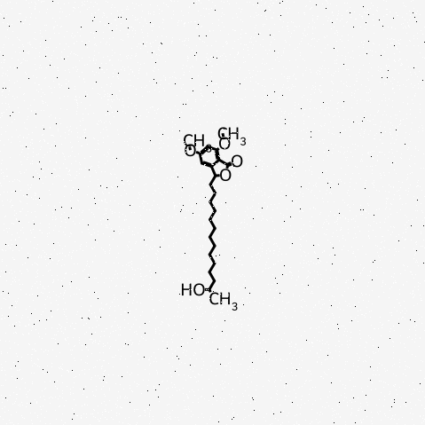 COc1cc(OC)c2c(c1)C(CCCCCCCCCCCCC(C)O)OC2=O